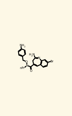 CCCN(OCc1ccc(N)cc1)C(=O)C1=Cc2ccc(Br)cc2N=C(N)C1